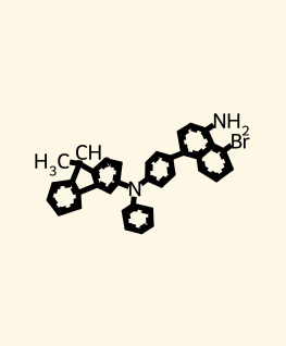 CC1(C)c2ccccc2-c2cc(N(c3ccccc3)c3ccc(-c4ccc(N)c5c(Br)cccc45)cc3)ccc21